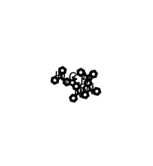 CC1(C)c2cc(N(c3ccccc3)c3ccccc3)ccc2-c2cc3c(cc21)B1c2cc4c(cc2N(c2ccccc2)c2cccc(c21)N3c1ccccc1)c1ccccc1n4-c1ccccc1